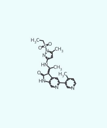 CCS(=O)(=O)n1nc(N/C(C)=C2\C(=O)Nc3cnc(-c4cnccc4C)cc32)cc1C